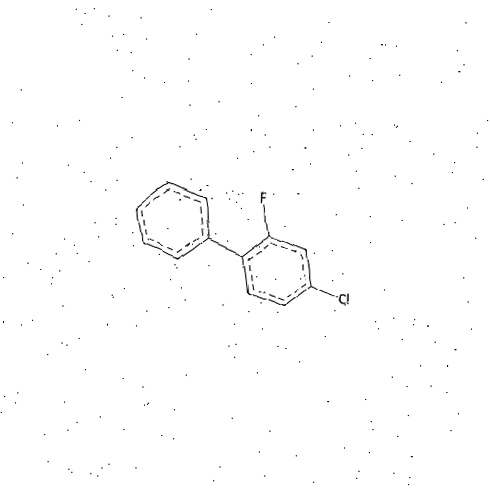 Fc1cc(Cl)ccc1-c1[c]cccc1